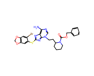 Nc1ncn(CCC2CCCCN2C(=O)OCc2ccccc2)c2nc(Sc3cc4c(cc3Br)OCO4)nc1-2